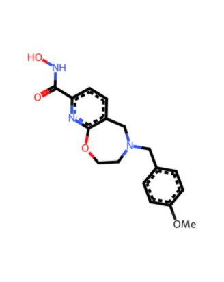 COc1ccc(CN2CCOc3nc(C(=O)NO)ccc3C2)cc1